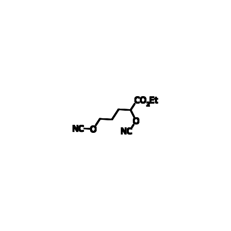 CCOC(=O)C(CCCOC#N)OC#N